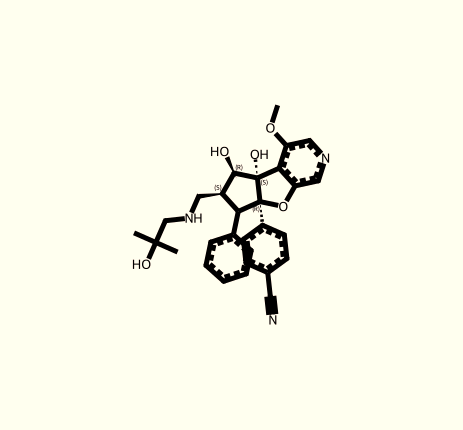 COc1cncc2c1[C@]1(O)[C@H](O)[C@H](CNCC(C)(C)O)C(c3ccccc3)[C@]1(c1ccc(C#N)cc1)O2